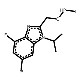 CC(C)n1c(COPI)nc2c(F)cc(Br)cc21